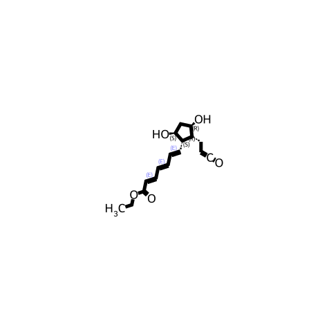 CCOC(=O)/C=C/C=C/C=C/[C@H]1[C@@H](CC=C=O)[C@H](O)C[C@@H]1O